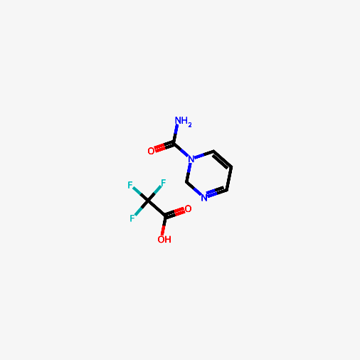 NC(=O)N1C=CC=NC1.O=C(O)C(F)(F)F